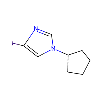 Ic1cn(C2CCCC2)cn1